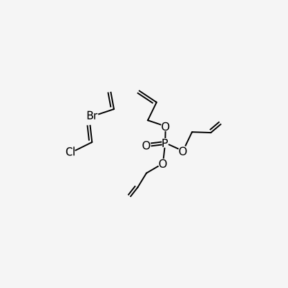 C=CBr.C=CCOP(=O)(OCC=C)OCC=C.C=CCl